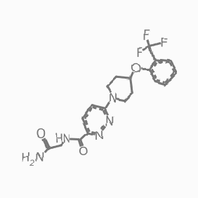 NC(=O)CNC(=O)c1ccc(N2CCC(Oc3ccccc3C(F)(F)F)CC2)nn1